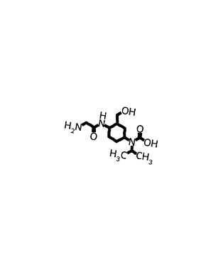 CC(C)N(C(=O)O)C1CCC(NC(=O)CN)C(CO)C1